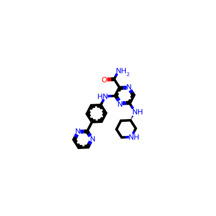 NC(=O)c1ncc(N[C@H]2CCCNC2)nc1Nc1ccc(-c2ncccn2)cc1